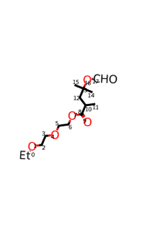 CCOCCOCCOC(=O)C(C)CC(C)(C)OC=O